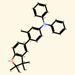 Cc1cc(N(c2ccccc2)c2ccccc2)ccc1-c1ccc2c(c1)C(C)(C)C(C)(C)O2